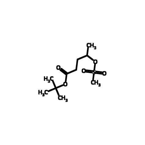 CC(CCC(=O)OC(C)(C)C)OS(C)(=O)=O